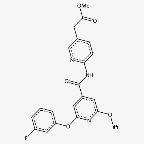 COC(=O)Cc1ccc(NC(=O)c2cc(Oc3cccc(F)c3)nc(OC(C)C)c2)nc1